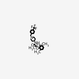 Cc1ccc(C)c(OC(C)(C)C(=O)NC2CCN(Cc3ccc(C(F)(F)F)cc3)CC2)c1